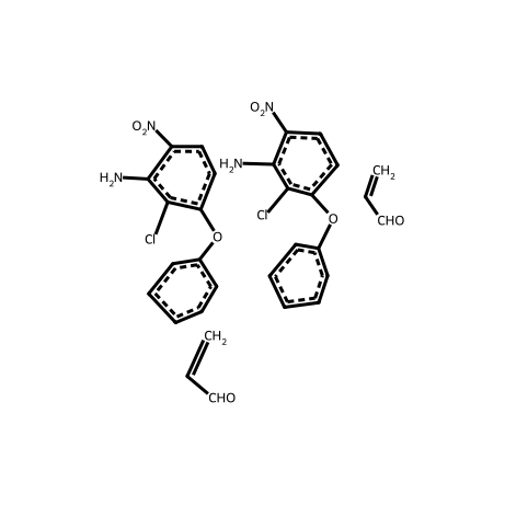 C=CC=O.C=CC=O.Nc1c([N+](=O)[O-])ccc(Oc2ccccc2)c1Cl.Nc1c([N+](=O)[O-])ccc(Oc2ccccc2)c1Cl